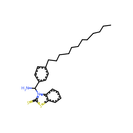 CCCCCCCCCCCCc1ccc(C(N)n2c(=S)sc3ccccc32)cc1